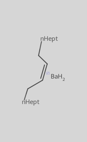 CCCCCCCC/C=C\CCCCCCCC.[BaH2]